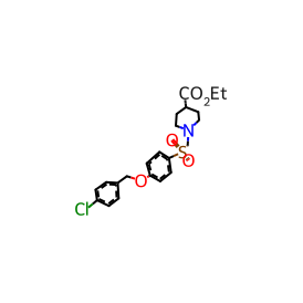 CCOC(=O)C1CCN(CS(=O)(=O)c2ccc(OCc3ccc(Cl)cc3)cc2)CC1